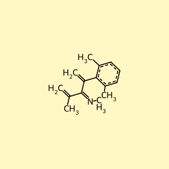 C=C(C)/C(=N/C)C(=C)c1c(C)cccc1C